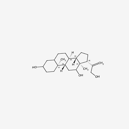 C=C(CO)[C@H]1CC[C@H]2[C@@H]3CCC4CC(O)CC[C@]4(C)[C@H]3CC(O)[C@]12C